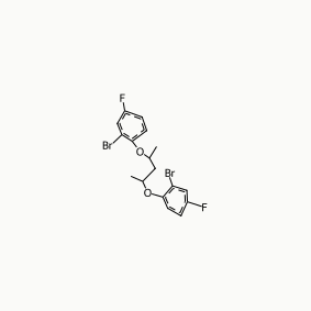 CC(CC(C)Oc1ccc(F)cc1Br)Oc1ccc(F)cc1Br